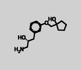 NC[C@H](O)Cc1cccc(OCC2(O)CCCC2)c1